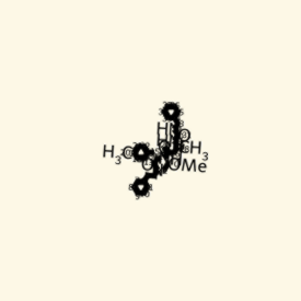 COCCN(CCc1ccccc1)C(=O)[C@H](Cc1ccc(C)cc1)NC(=O)CN(C)NC(=O)NCc1ccccc1